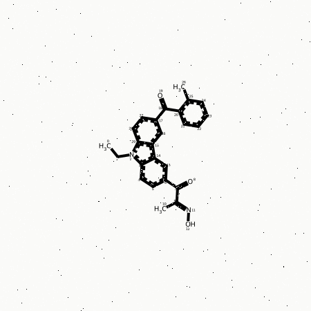 CCn1c2ccc(C(=O)/C(C)=N/O)cc2c2cc(C(=O)c3ccccc3C)ccc21